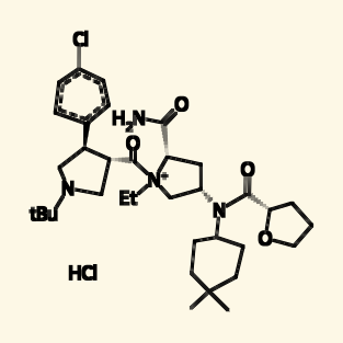 CC[N+]1(C(=O)[C@@H]2CN(C(C)(C)C)C[C@H]2c2ccc(Cl)cc2)C[C@@H](N(C(=O)[C@@H]2CCCO2)C2CCC(C)(C)CC2)C[C@H]1C(N)=O.Cl